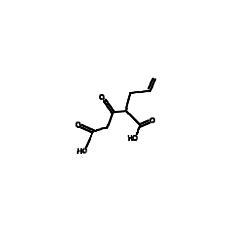 C=CCC(C(=O)O)C(=O)CC(=O)O